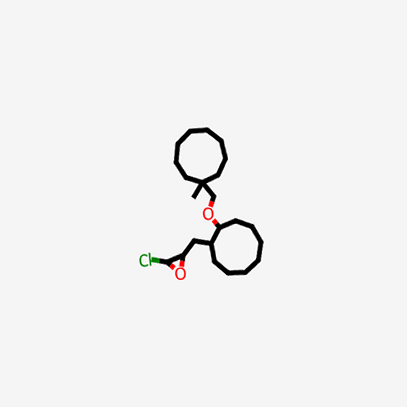 CC1(COC2CCCCCCCC2CC2OC2Cl)CCCCCCCC1